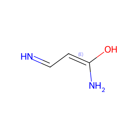 N=C/C=C(\N)O